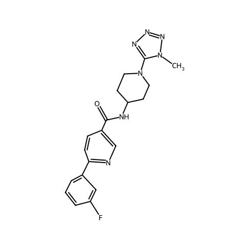 Cn1nnnc1N1CCC(NC(=O)c2ccc(-c3cccc(F)c3)nc2)CC1